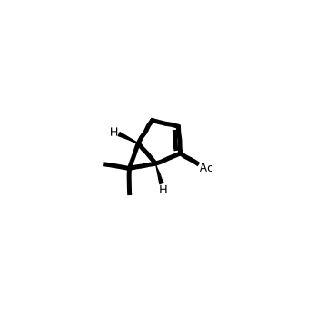 CC(=O)C1=CC[C@@H]2[C@H]1C2(C)C